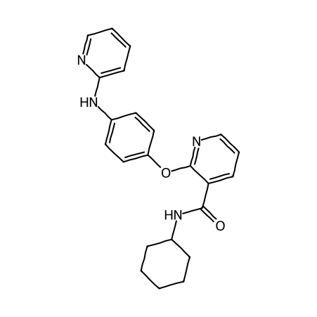 O=C(NC1CCCCC1)c1cccnc1Oc1ccc(Nc2ccccn2)cc1